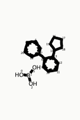 OB(O)O.c1ccc(-c2ccccc2C2CCCC2)cc1